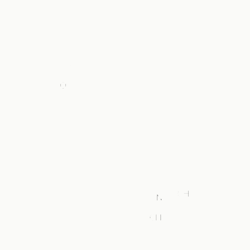 CN(C)C1CC[C](c2ccc(Oc3ccccc3)cc2)CC1